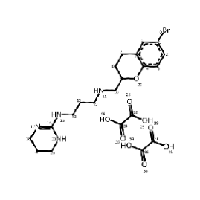 Brc1ccc2c(c1)CCC(CNCCCNC1=NCCCN1)O2.O=C(O)C(=O)O.O=C(O)C(=O)O